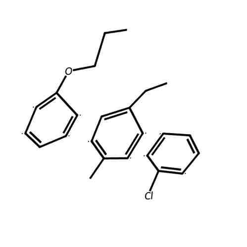 CCCOc1[c][c]c[c][c]1.CCc1[c][c]c(C)[c]c1.Clc1[c][c]cc[c]1